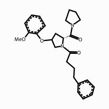 COc1ccccc1OC1C[C@H](C(=O)N2CCCC2)N(C(=O)CCCc2ccccc2)C1